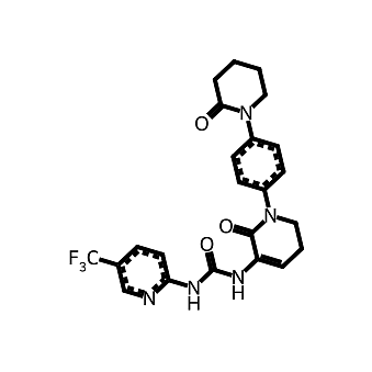 O=C(NC1=CCCN(c2ccc(N3CCCCC3=O)cc2)C1=O)Nc1ccc(C(F)(F)F)cn1